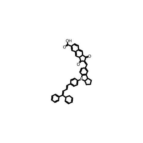 O=C(O)c1ccc2c(c1)=CC1C(=O)C(=Cc3ccc4c(c3)C3CCCC3N4c3ccc(/C=C/C=C(/c4ccccc4)C4C=CC=CC4)cc3)C(=O)C1C=2